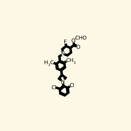 Cc1cc(C2CN(c3c(Cl)cccc3Cl)C2)cc(C)c1CN1CCC(C(=O)OC=O)C(F)C1